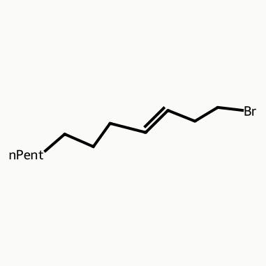 CCCCCCCCC=CCCBr